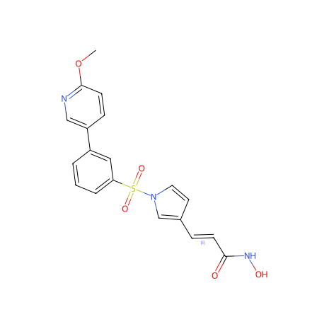 COc1ccc(-c2cccc(S(=O)(=O)n3ccc(/C=C/C(=O)NO)c3)c2)cn1